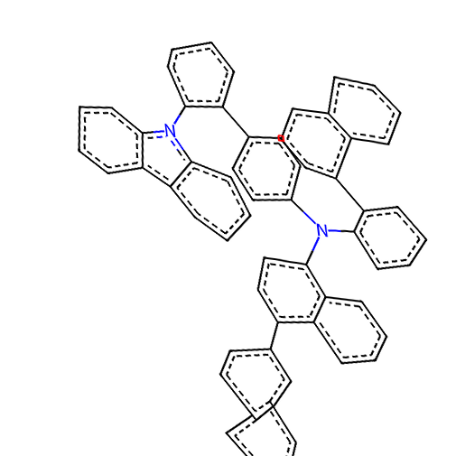 c1ccc(N(c2ccc(-c3ccccc3-n3c4ccccc4c4ccccc43)cc2)c2ccc(-c3ccc4ccccc4c3)c3ccccc23)c(-c2cccc3ccccc23)c1